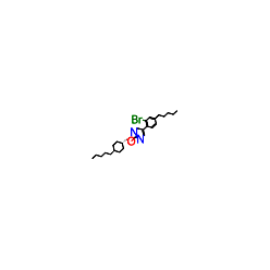 CCCCCc1ccc(-c2cnc(OC[C@H]3CC[C@H](CCCCC)CC3)nc2)c(Br)c1